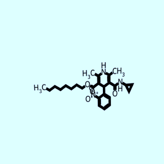 CCCCCCCCOC(=O)C1=C(C)NC(C)=C(C(=O)NC2CC2)C1c1ccccc1[N+](=O)[O-]